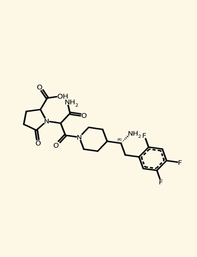 NC(=O)C(C(=O)N1CCC([C@H](N)Cc2cc(F)c(F)cc2F)CC1)N1C(=O)CCC1C(=O)O